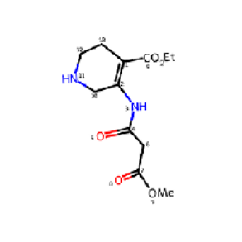 CCOC(=O)C1=C(NC(=O)CC(=O)OC)CNCC1